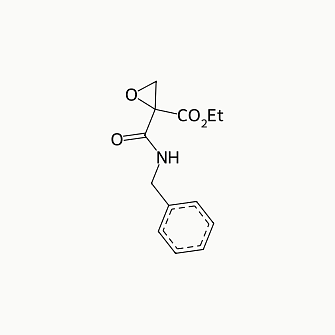 CCOC(=O)C1(C(=O)NCc2ccccc2)CO1